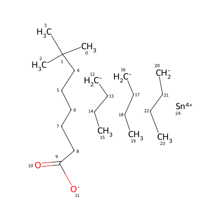 CC(C)(C)CCCCCC(=O)[O-].[CH2-]CCC.[CH2-]CCC.[CH2-]CCC.[Sn+4]